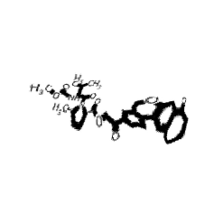 COC(=O)N[C@H](C(=O)N1[C@@H](C)CC[C@H]1C(=O)OCC(=O)c1ccc2c(c1)COc1cc3c(cc1-2)CCCC3=O)C(C)C